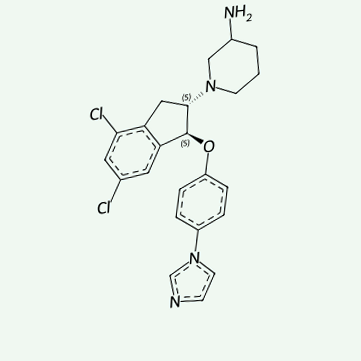 NC1CCCN([C@H]2Cc3c(Cl)cc(Cl)cc3[C@@H]2Oc2ccc(-n3ccnc3)cc2)C1